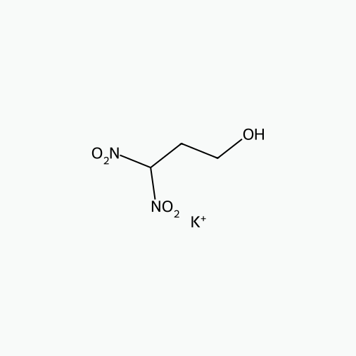 O=[N+]([O-])C(CCO)[N+](=O)[O-].[K+]